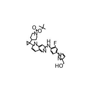 CC(C)(C)OC(=O)N1CCC(C2(c3ccc4cnc(Nc5ccc(-n6ccc(CO)n6)cc5F)cc4n3)CC2)CC1